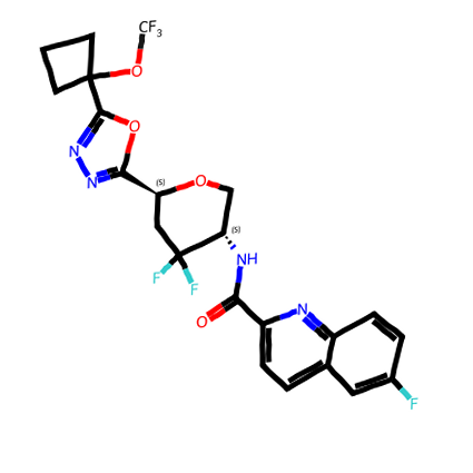 O=C(N[C@H]1CO[C@H](c2nnc(C3(OC(F)(F)F)CCC3)o2)CC1(F)F)c1ccc2cc(F)ccc2n1